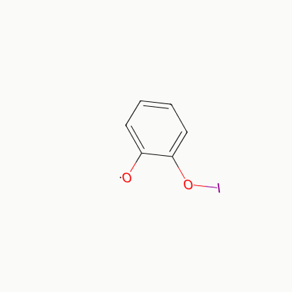 [O]c1ccccc1OI